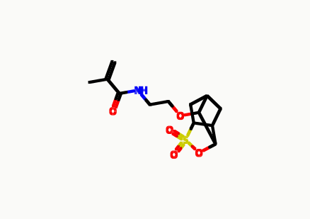 C=C(C)C(=O)NCCOC1C2CC3C1OS(=O)(=O)C3C2